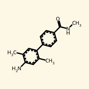 CNC(=O)c1ccc(-c2cc(C)c(N)cc2C)cc1